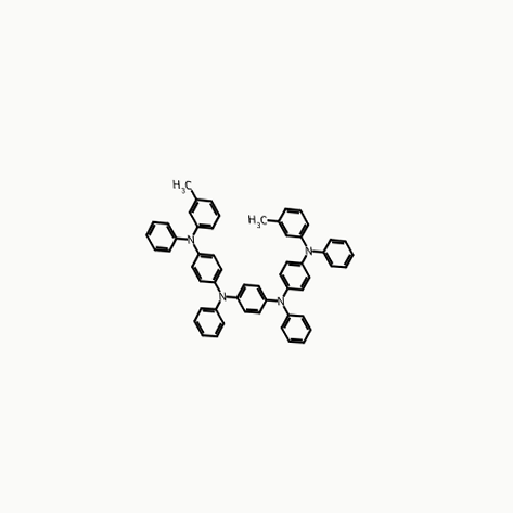 Cc1cccc(N(c2ccccc2)c2ccc(N(c3ccccc3)c3ccc(N(c4ccccc4)c4ccc(N(c5ccccc5)c5cccc(C)c5)cc4)cc3)cc2)c1